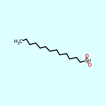 CCCCCCCCCCCCC[SH](=O)=O